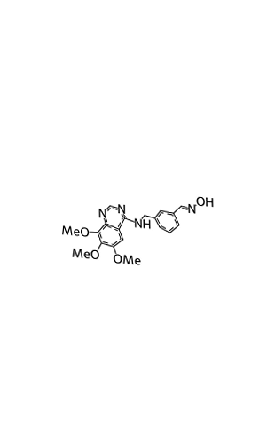 COc1cc2c(NCc3cccc(C=NO)c3)ncnc2c(OC)c1OC